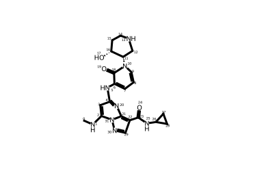 CNc1cc(Nc2cccn([C@H]3CNCC[C@H]3O)c2=O)nc2c(C(=O)NC3CC3)cnn12